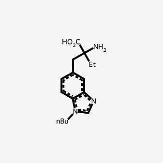 CCCCn1cnc2cc(CC(N)(CC)C(=O)O)ccc21